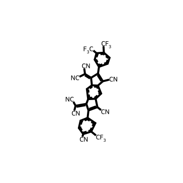 N#CC(C#N)=C1C(c2ccc(C#N)c(C(F)(F)F)c2)=C(C#N)c2cc3c(cc21)C(=C(C#N)C#N)C(c1ccc(C(F)(F)F)c(C(F)(F)F)c1)=C3C#N